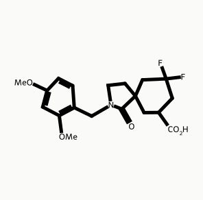 COc1ccc(CN2CCC3(CC(C(=O)O)CC(F)(F)C3)C2=O)c(OC)c1